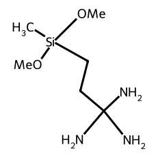 CO[Si](C)(CCC(N)(N)N)OC